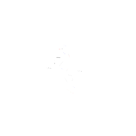 COc1cc(NS(C)(=O)=O)ccc1C(=O)Nc1cc(N2C(=O)CCNC2=O)cc(C(C)(C)C)c1OC